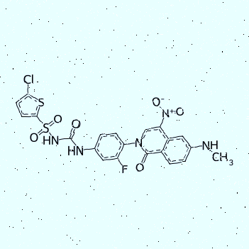 CNc1ccc2c(=O)n(-c3ccc(NC(=O)NS(=O)(=O)c4ccc(Cl)s4)cc3F)cc([N+](=O)[O-])c2c1